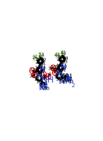 COC(=O)NC1(c2cnn(C)c2)CCCN(c2cnc(-c3ccc(F)c(F)c3)cc2C(=O)OC)C1.COC(=O)c1cc(-c2ccc(F)c(F)c2)ncc1N1CCCC(N)(c2cnn(C)c2)C1